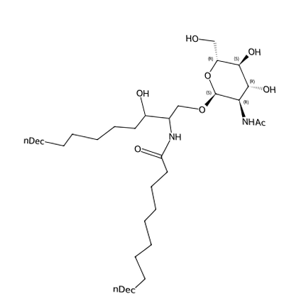 CCCCCCCCCCCCCCCCCC(=O)NC(CO[C@H]1O[C@H](CO)[C@@H](O)[C@H](O)[C@H]1NC(C)=O)C(O)CCCCCCCCCCCCCCC